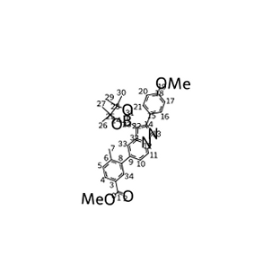 COC(=O)c1ccc(C)c(-c2ccn3nc(-c4ccc(OC)cc4)c(B4OC(C)(C)C(C)(C)O4)c3c2)c1